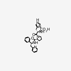 O=C(O)N[C@@H](Cc1c[nH]cn1)C(=O)N1CCC[C@H]1C(=O)N[C@@H](Cc1ccccn1)c1ccccc1